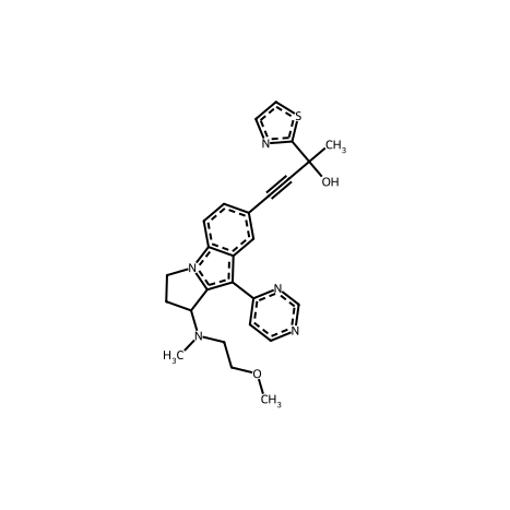 COCCN(C)C1CCn2c1c(-c1ccncn1)c1cc(C#CC(C)(O)c3nccs3)ccc12